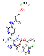 CSOCCCC(=O)Nc1ccc(/C(N)=C(\NC(=O)OC(C)c2cccnc2Cl)N(C)N)nc1